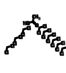 CC(=O)O.ClCCl.ClCCl.ClCCl.ClCCl.ClCCl.ClCCl.ClCCl.ClCCl.ClCCl